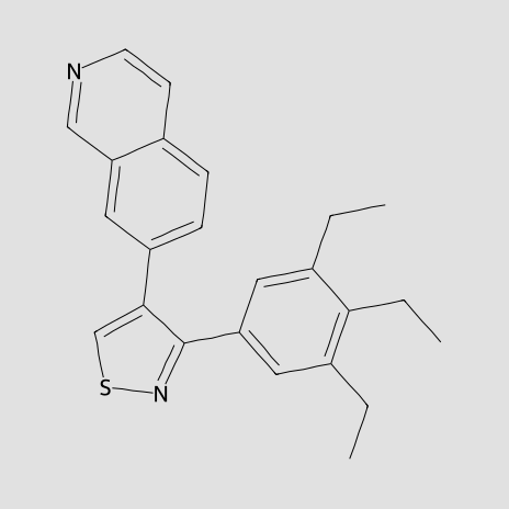 CCc1cc(-c2nscc2-c2ccc3ccncc3c2)cc(CC)c1CC